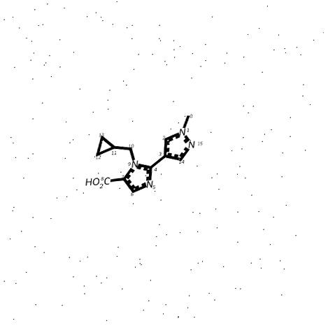 Cn1cc(-c2ncc(C(=O)O)n2CC2CC2)cn1